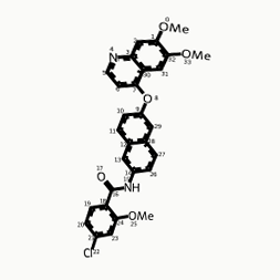 COc1cc2nccc(Oc3ccc4cc(NC(=O)c5ccc(Cl)cc5OC)ccc4c3)c2cc1OC